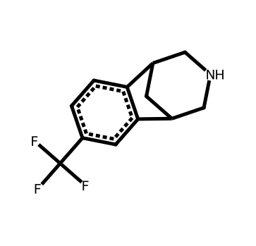 FC(F)(F)c1ccc2c(c1)C1CNCC2C1